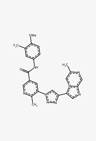 COc1ccc(NC(=O)c2cnc(C)c(-n3cc(-c4cnc5cnc(C)cn45)nn3)c2)cc1C(F)(F)F